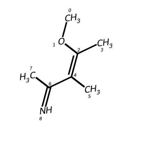 CO/C(C)=C(/C)C(C)=N